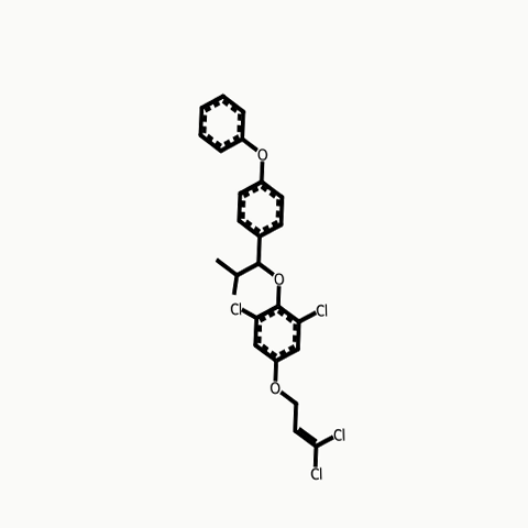 CC(C)C(Oc1c(Cl)cc(OCC=C(Cl)Cl)cc1Cl)c1ccc(Oc2ccccc2)cc1